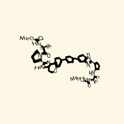 COC(=O)N[C@H](C(=O)N[C@@H]1CCC[C@@H]1c1nc2cc(-c3ccc(-c4ccc5c(c4)OCCc4[nH]c([C@@H]6CCCN6C(=O)[C@@H](NC(=O)OC)C(C)C)nc4-5)cc3)ccc2[nH]1)C(C)C